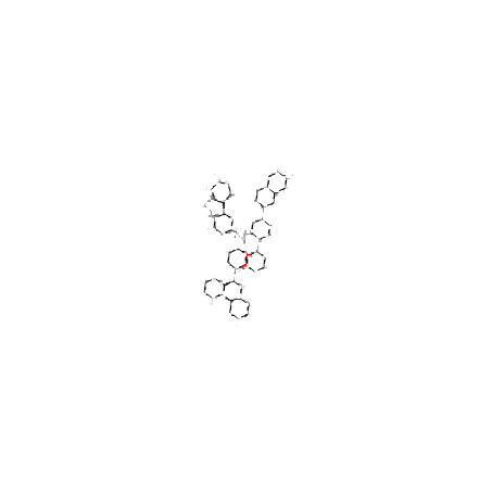 c1ccc(-c2ccc(-c3ccc4ccccc4c3)cc2N(c2ccc(-c3cc4ccccc4c4ccccc34)cc2)c2ccc3sc4ccccc4c3c2)cc1